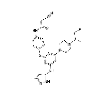 CC1=NNC(Nc2cc(N3CCN(C(C)CF)CC3)nc(Sc3ccc(NC(=O)CC#N)cc3)n2)C1